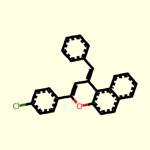 Clc1ccc(C2=C/C(=C\c3ccccc3)c3c(ccc4ccccc34)O2)cc1